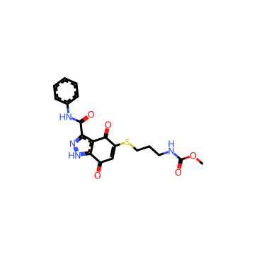 COC(=O)NCCCSC1=CC(=O)c2[nH]nc(C(=O)Nc3ccccc3)c2C1=O